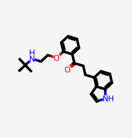 CC(C)(C)NCCOc1ccccc1C(=O)CCc1cccc2[nH]ccc12